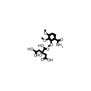 COc1ccc(C(N)=O)c(OC)c1OC.O=C(O)CC(O)(CC(=O)O)C(=O)O